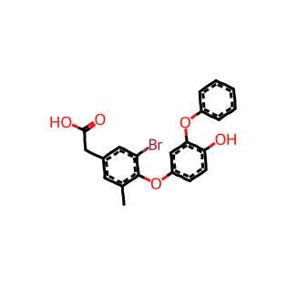 Cc1cc(CC(=O)O)cc(Br)c1Oc1ccc(O)c(Oc2ccccc2)c1